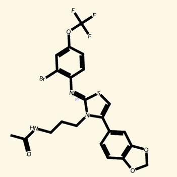 CC(=O)NCCCn1c(-c2ccc3c(c2)OCO3)cs/c1=N\c1ccc(OC(F)(F)F)cc1Br